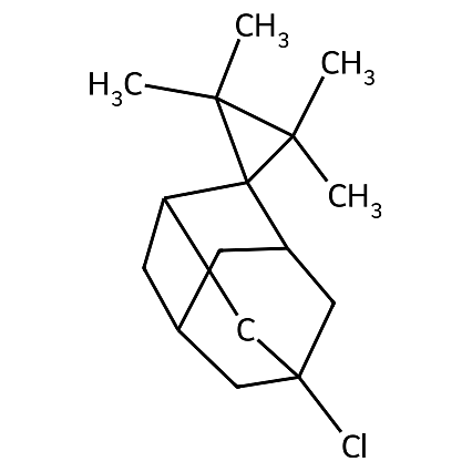 CC1(C)C(C)(C)C12C1CC3CC2CC(Cl)(C3)C1